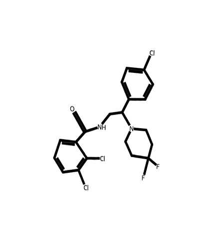 O=C(NCC(c1ccc(Cl)cc1)N1CCC(F)(F)CC1)c1cccc(Cl)c1Cl